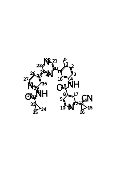 Cc1ccc(NC(=O)c2ccnc(C3(C#N)CC3)c2)cc1-c1cncc(-c2ccnc(NC(=O)C3CC3)c2)n1